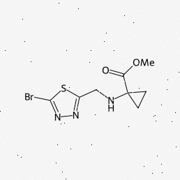 COC(=O)C1(NCc2nnc(Br)s2)CC1